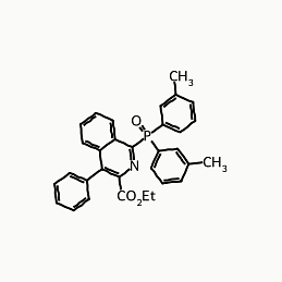 CCOC(=O)c1nc(P(=O)(c2cccc(C)c2)c2cccc(C)c2)c2ccccc2c1-c1ccccc1